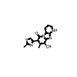 Cc1nc(-c2c(C)c(C#N)c3nc4[nH]cccc4n3c2=O)cs1